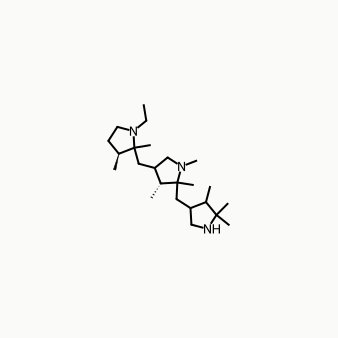 CCN1CC[C@H](C)C1(C)CC1CN(C)C(C)(CC2CNC(C)(C)C2C)[C@@H]1C